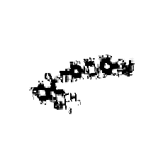 CCc1c(C(=O)NCc2ccc(N3CCN(c4ccc(OC(F)(F)F)cc4)CC3)cc2)c2ccncc2n1C